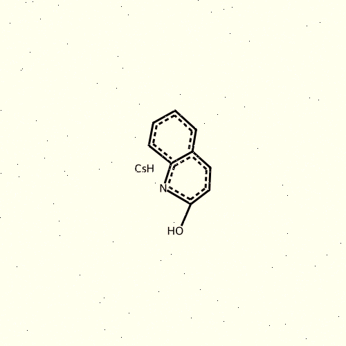 Oc1ccc2ccccc2n1.[CsH]